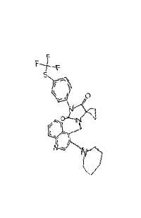 O=C1N(c2ccc(SC(F)(F)F)cc2)C(=O)C2(CC2)N1Cc1c(N2CCCCC2)cnc2ccccc12